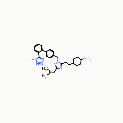 CC(C)Cc1nc(CCC2CCC(N)CC2)n(Cc2ccc(-c3ccccc3-c3nnn[nH]3)cc2)n1